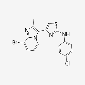 Cc1nc2c(Br)cccn2c1-c1csc(Nc2ccc(Cl)cc2)n1